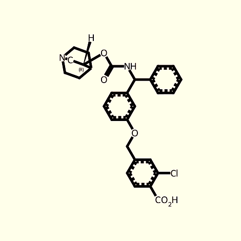 O=C(NC(c1ccccc1)c1cccc(OCc2ccc(C(=O)O)c(Cl)c2)c1)O[C@H]1CN2CCC1CC2